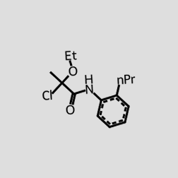 CCCc1ccccc1NC(=O)C(C)(Cl)OCC